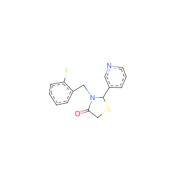 O=C1CSC(c2cccnc2)N1Cc1ccccc1F